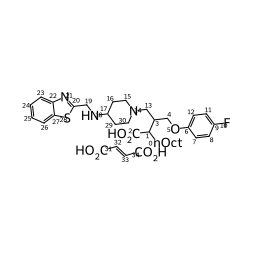 CCCCCCCCC(C(=O)O)C(COc1ccc(F)cc1)CN1CCC(NCc2nc3ccccc3s2)CC1.O=C(O)C=CC(=O)O